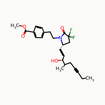 CCC#CCC(C)[C@@H](O)/C=C/[C@H]1CC(F)(F)C(=O)N1CCc1ccc(C(=O)OC)cc1